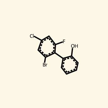 Oc1ccccc1-c1c(F)cc(Cl)cc1Br